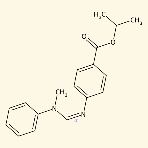 CC(C)OC(=O)c1ccc(/N=C\N(C)c2ccccc2)cc1